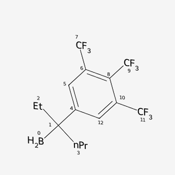 BC(CC)(CCC)c1cc(C(F)(F)F)c(C(F)(F)F)c(C(F)(F)F)c1